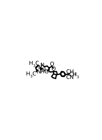 Cc1cc(C)n2nc(CC3=C(O)CC(CCc4ccc(C(C)(C)C#N)cc4)(C4CCCC4)OC3=O)nc2n1